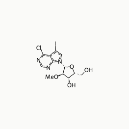 CO[C@@H]1[C@H](O)[C@@H](CO)O[C@H]1n1cc(I)c2c(Cl)ncnc21